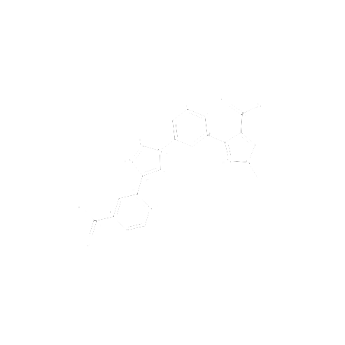 Cn1cc(C(N)=O)c(-c2cccc(-n3cc(-c4cc(C(=O)O)ccn4)nn3)c2)n1